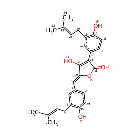 CC(C)=CCc1cc(/C=C2\OC(=O)C(c3ccc(O)c(CC=C(C)C)c3)=C2O)ccc1O